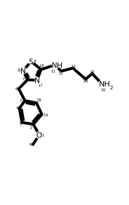 COc1ccc(Cc2nsc(NCCCCN)n2)cc1